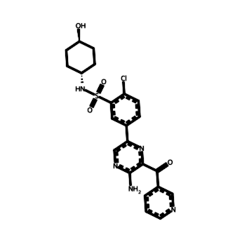 Nc1ncc(-c2ccc(Cl)c(S(=O)(=O)N[C@H]3CC[C@H](O)CC3)c2)nc1C(=O)c1cccnc1